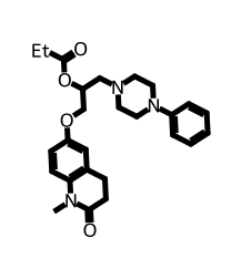 CCC(=O)OC(COc1ccc2c(c1)CCC(=O)N2C)CN1CCN(c2ccccc2)CC1